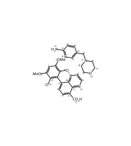 COc1cc(OC)c(Cl)c(-c2ccc(C(=O)O)c3nccnc23)c1Cl.Nc1ccc(CN2CCOCC2)cn1